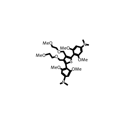 COCCOCc1c(-c2c(OC)cc(N(C)C)cc2OC)sc(-c2c(OC)cc(N(C)C)cc2OC)c1COCCOC